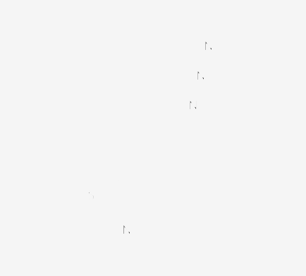 [N-]=[N+]=NCc1ccc2ncsc2c1